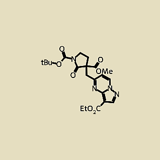 CCOC(=O)c1cnn2ccc(CC3(C(=O)OC)CCN(C(=O)OC(C)(C)C)C3=O)nc12